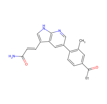 CCC(=O)c1ccc(-c2cnc3[nH]cc(/C=C/C(N)=O)c3c2)c(C)c1